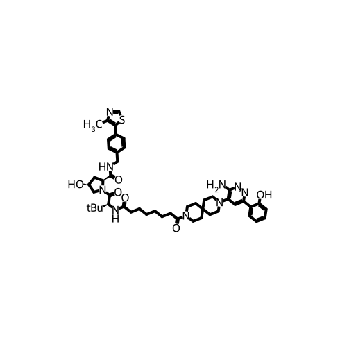 Cc1ncsc1-c1ccc(CNC(=O)[C@@H]2C[C@@H](O)CN2C(=O)[C@@H](NC(=O)CCCCCCC(=O)N2CCC3(CC2)CCN(c2cc(-c4ccccc4O)nnc2N)CC3)C(C)(C)C)cc1